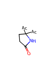 CC(=O)C1(C(C)=O)CCC(=O)N1